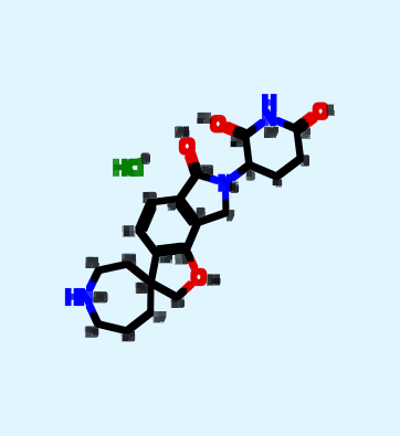 Cl.O=C1CCC(N2Cc3c(ccc4c3OCC43CCCNCC3)C2=O)C(=O)N1